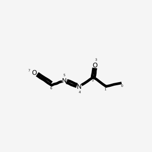 CCC(=O)N=NC=O